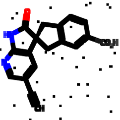 C#Cc1cnc2c(c1)[C@]1(Cc3ccc(C(=O)O)cc3C1)C(=O)N2